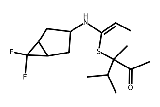 CC=C(NC1CC2C(C1)C2(F)F)SC(C)(C(C)=O)C(C)C